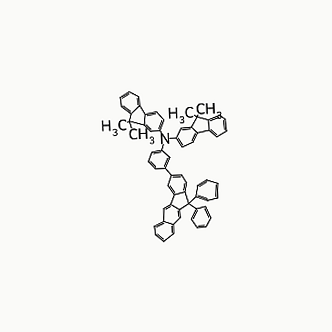 CC1(C)c2ccccc2-c2ccc(N(c3cccc(-c4ccc5c(c4)-c4cc6ccccc6cc4C5(c4ccccc4)c4ccccc4)c3)c3ccc4c(c3)C(C)(C)c3ccccc3-4)cc21